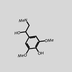 CNCC(O)c1cc(OC)c(O)c(OC)c1